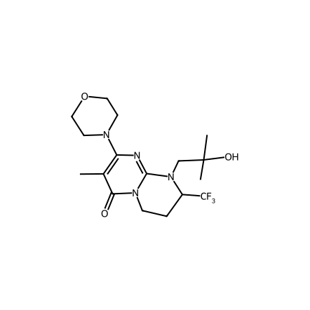 Cc1c(N2CCOCC2)nc2n(c1=O)CCC(C(F)(F)F)N2CC(C)(C)O